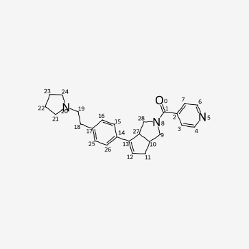 O=C(c1ccncc1)N1CC2CC=C(c3ccc(CCN4CCCC4)cc3)C2C1